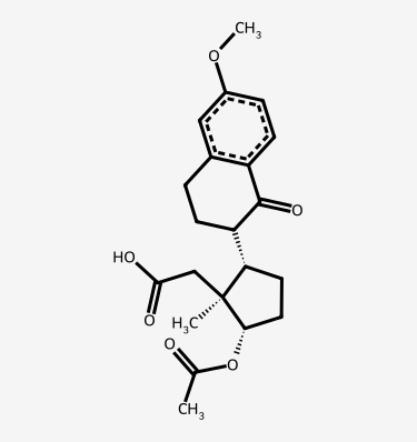 COc1ccc2c(c1)CCC([C@@H]1CC[C@H](OC(C)=O)[C@@]1(C)CC(=O)O)C2=O